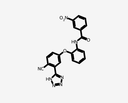 N#Cc1ccc(Oc2ccccc2NC(=O)c2cccc([N+](=O)[O-])c2)cc1-c1nnn[nH]1